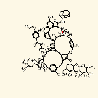 CN[C@H](CC(C)C)C(=O)N[C@H]1C(=O)N[C@@H](CC(=O)NC(=O)c2ccc(OC)cc2)C(=O)N[C@H]2C(=O)N[C@H]3C(=O)N[C@H](C(=O)N[C@H](C(=O)NC4C5CC6CC(C5)CC4C6)c4cc(O)cc(O)c4-c4cc3ccc4O)[C@H](O)c3ccc(c(Cl)c3)Oc3cc2cc(c3O[C@@H]2C[C@H](CO)[C@@H](O)[C@H](O)[C@H]2O[C@H]2C[C@](C)(N)[C@H](O)[C@H](C)O2)Oc2ccc(cc2Cl)[C@H]1O